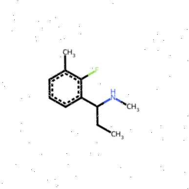 CCC(NC)c1cccc(C)c1F